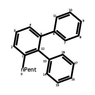 CCCCCc1cccc(-c2ccccc2)c1-c1ccccc1